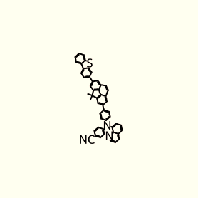 CC1(C)c2cc(-c3ccc(N(c4ccc(C#N)cc4)c4cccc5cccnc45)cc3)cc3ccc4cc(-c5ccc6c(c5)sc5ccccc56)cc1c4c23